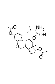 CC(=O)Oc1ccc2c(c1)OCC1=C2CC[C@@]2(C)C1=CC[C@@H]2OC(C)=O.CC(C)[C@H](N)C(=O)O